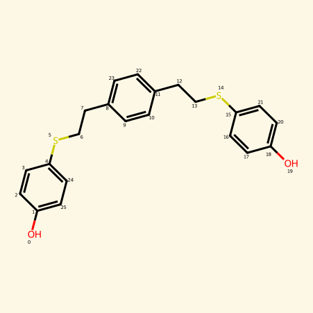 Oc1ccc(SCCc2ccc(CCSc3ccc(O)cc3)cc2)cc1